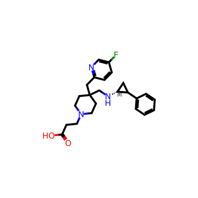 O=C(O)CCN1CCC(CN[C@@H]2CC2c2ccccc2)(Cc2ccc(F)cn2)CC1